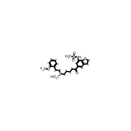 CS(=O)(=O)Nc1cc(C(=O)CCCCN(CCc2ccccc2OC(F)(F)F)C(=O)O)cc2c1OCC2